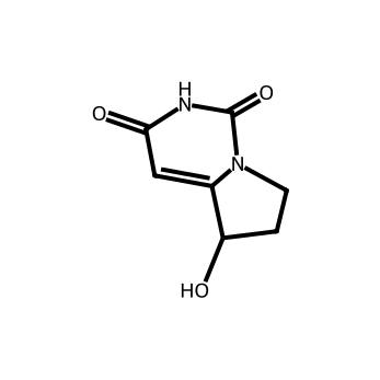 O=c1cc2n(c(=O)[nH]1)CCC2O